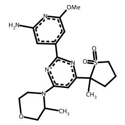 COc1cc(-c2nc(N3CCOCC3C)cc(C3(C)CCCS3(=O)=O)n2)cc(N)n1